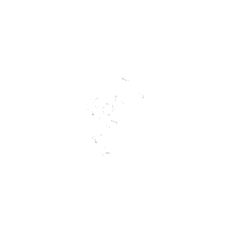 CC(=O)OCC(COC(C)=O)NC(=O)c1c(I)c(C(=O)NCC(COC(C)=O)OC(C)=O)c(I)c(N(C(C)=O)C(C)=O)c1I